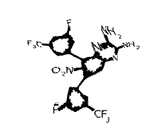 Nc1nc2cc(-c3cc(F)cc(C(F)(F)F)c3)c([N+](=O)[O-])c(-c3cc(F)cc(C(F)(F)F)c3)c2nc1N